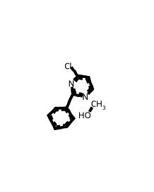 CO.Clc1ccnc(-c2ccccc2)n1